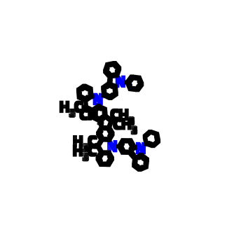 CC1(C)c2cc3c(cc2-c2cc4c(cc21)N(c1ccc2c(c1)c1ccccc1n2-c1ccccc1)c1ccccc1C4(C)C)C(C)(C)c1ccccc1N3c1ccc2c(c1)c1ccccc1n2C1=CC=CCC1